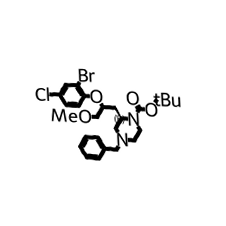 COCC(C[C@@H]1CN(Cc2ccccc2)CCN1C(=O)OC(C)(C)C)Oc1ccc(Cl)cc1Br